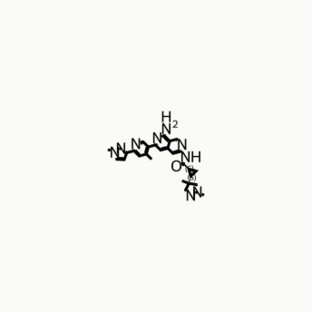 Cc1cc(-c2ccn(C)n2)ncc1-c1cc2cc(NC(=O)[C@H]3C[C@@H]3C3(C)C=NN(C)C3)ncc2c(N)n1